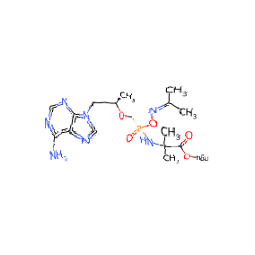 CCCCOC(=O)C(C)(C)N[P@](=O)(CO[C@H](C)Cn1cnc2c(N)ncnc21)ON=C(C)C